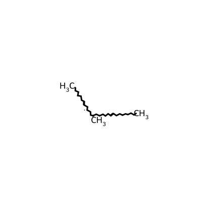 CCCCCCCC=CC[CH]CCC(C)CCCCCC=CCCCCCCCC